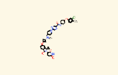 CC(C)N(CC1CCN(c2cnc(C(=O)N[C@H]3CC[C@H](Oc4ccc(C#N)c(Cl)c4)CC3)cn2)CC1)[C@H]1C[C@H](Oc2ccc3c(c2)C2(CC2)N(C2CCC(=O)NC2=O)C3=O)C1